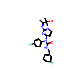 CC(=Nc1nccc(N(C(=O)NCc2cccc(F)c2)c2ccc(F)cc2)n1)C(C)(C)O